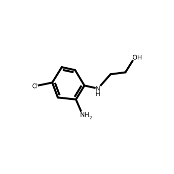 Nc1cc(Cl)ccc1NCCO